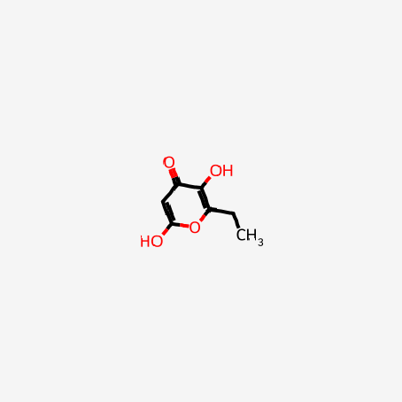 CCc1oc(O)cc(=O)c1O